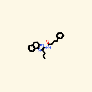 CCCc1nc2c(nc1NC(=O)CCCc1ccccc1)CCc1ccccc1-2